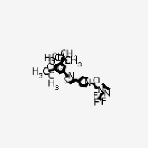 COc1c(C(C)(C)C)cc(-c2nc(C3CCN(C(=O)Cn4ccnc4C(F)(F)F)CC3)cs2)cc1C(C)(C)C